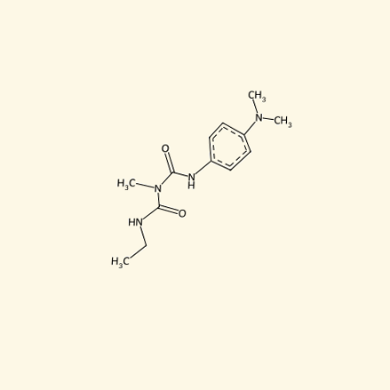 CCNC(=O)N(C)C(=O)Nc1ccc(N(C)C)cc1